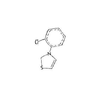 Clc1ccccc1N1C=CSC1